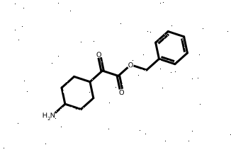 NC1CCC(C(=O)C(=O)OCc2ccccc2)CC1